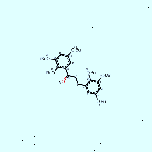 COc1cc(OCC(C)C)cc(CCC(=O)c2cc(OCC(C)C)cc(OCC(C)C)c2OCC(C)C)c1OCC(C)C